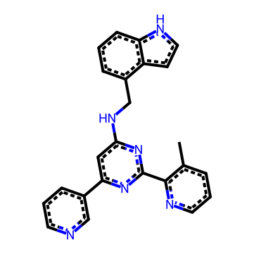 Cc1cccnc1-c1nc(NCc2cccc3[nH]ccc23)cc(-c2cccnc2)n1